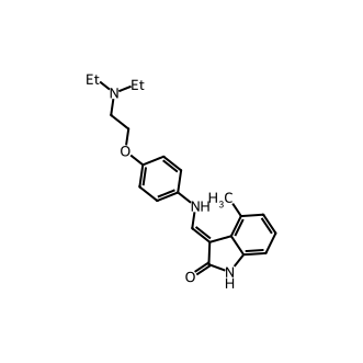 CCN(CC)CCOc1ccc(N/C=C2/C(=O)Nc3cccc(C)c32)cc1